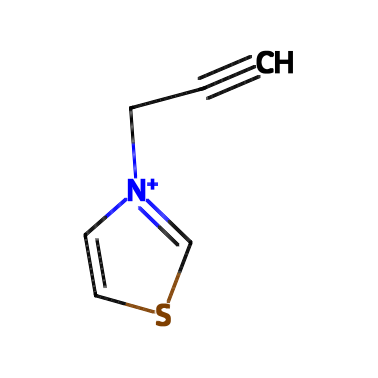 C#CC[n+]1ccsc1